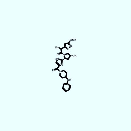 COc1cc(C(C(=O)N2C[C@H](O)C[C@H]2c2nc(C(=O)N3CCC(Nc4ccccc4)CC3)c[nH]2)C(C)C)on1